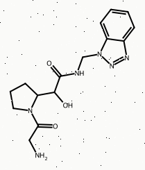 NCC(=O)N1CCCC1C(O)C(=O)NCn1nnc2ccccc21